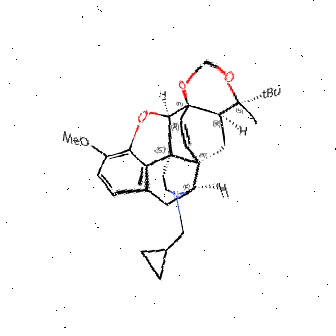 COc1ccc2c3c1O[C@H]1[C@@]45C=C[C@@]6(C[C@@H]4[C@@](C)(C(C)(C)C)OCO5)[C@@H](C2)N(CC2CC2)CC[C@]316